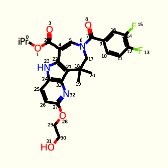 CC(C)OC(=O)C1=CN(C(=O)c2ccc(F)c(F)c2)CC(C)(C)c2c1[nH]c1ccc(OCCO)nc21